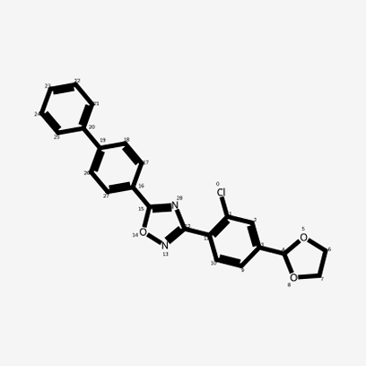 Clc1cc(C2OCCO2)ccc1-c1noc(-c2ccc(-c3ccccc3)cc2)n1